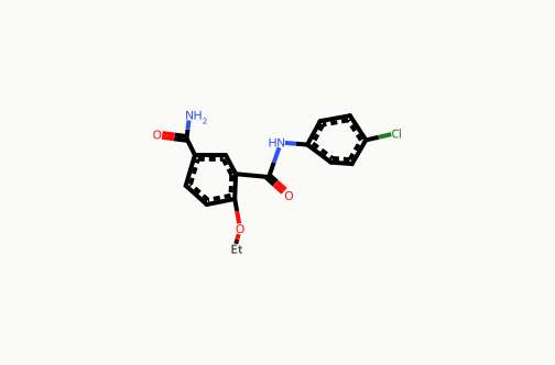 CCOc1ccc(C(N)=O)cc1C(=O)Nc1ccc(Cl)cc1